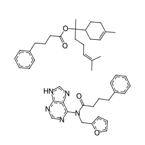 CC(C)=CCCC(C)(OC(=O)CCCc1ccccc1)C1CC=C(C)CC1.O=C(CCCc1ccccc1)N(Cc1ccco1)c1ncnc2[nH]cnc12